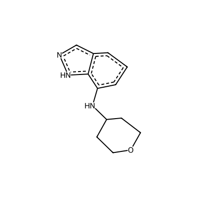 c1cc(NC2CCOCC2)c2[nH]ncc2c1